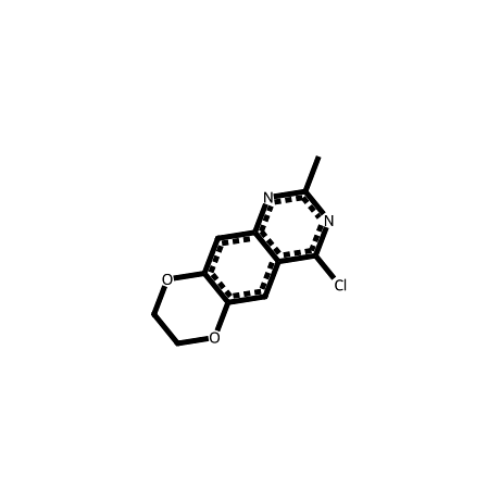 Cc1nc(Cl)c2cc3c(cc2n1)OCCO3